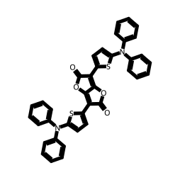 O=C1OC2=C(c3ccc(N(c4ccccc4)c4ccccc4)s3)C(=O)OC2=C1c1ccc(N(c2ccccc2)c2ccccc2)s1